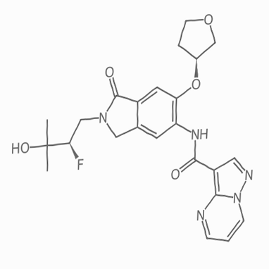 CC(C)(O)[C@H](F)CN1Cc2cc(NC(=O)c3cnn4cccnc34)c(O[C@H]3CCOC3)cc2C1=O